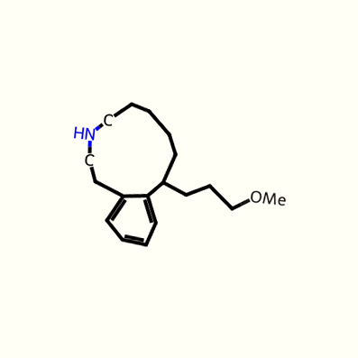 COCCCC1CCCCCNCCc2ccccc21